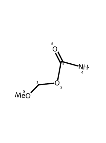 COCOC([NH])=O